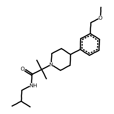 COCc1cccc(C2CCN(C(C)(C)C(=O)NCC(C)C)CC2)c1